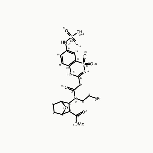 COC(=O)C1C2CCC(O2)C1N(CCC(C)C)C(=O)CC1=NS(=O)(=O)c2cc(NS(C)(=O)=O)ccc2N1